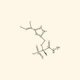 CC=C(C)c1cc(CC[C@](C)(C(=O)NO)S(C)(=O)=O)no1